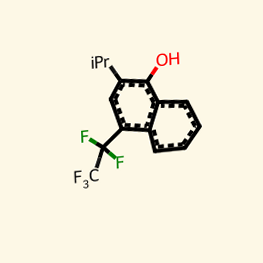 CC(C)c1cc(C(F)(F)C(F)(F)F)c2ccccc2c1O